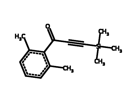 Cc1cccc(C)c1C(=O)C#C[Si](C)(C)C